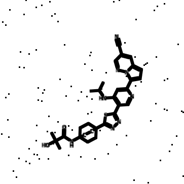 CC(C)Nc1cc(-c2ccc3cc(C#N)cnn23)ncc1-c1nnc(C23CCC(NC(=O)C(C)(C)O)(CC2)CC3)s1